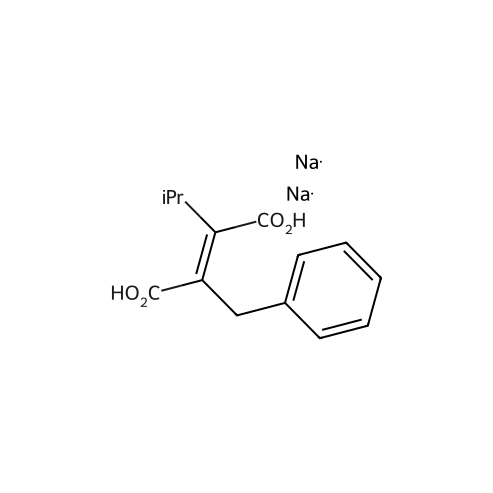 CC(C)C(C(=O)O)=C(Cc1ccccc1)C(=O)O.[Na].[Na]